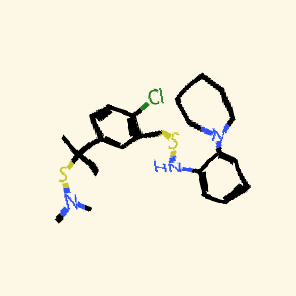 CN(C)SC(C)(C)c1ccc(Cl)c(SNc2ccccc2N2CCCCC2)c1